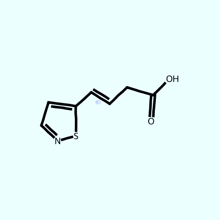 O=C(O)C/C=C/c1ccns1